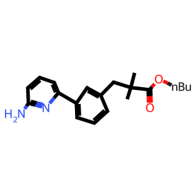 CCCCOC(=O)C(C)(C)Cc1cccc(-c2cccc(N)n2)c1